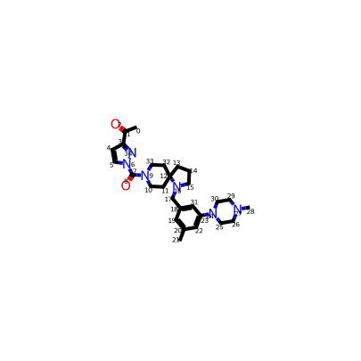 CC(=O)c1ccn(C(=O)N2CCC3(CCCN3Cc3cc(C)cc(N4CCN(C)CC4)c3)CC2)n1